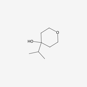 CC(C)C1(O)CCOCC1